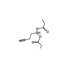 CCC(=O)O[SiH](CCC#N)OC(=O)CC